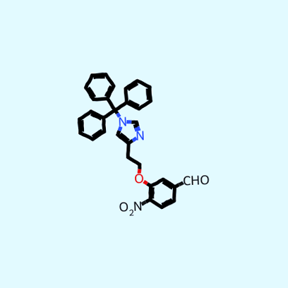 O=Cc1ccc([N+](=O)[O-])c(OCCc2cn(C(c3ccccc3)(c3ccccc3)c3ccccc3)cn2)c1